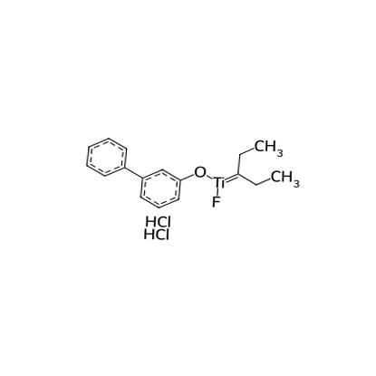 CC[C](CC)=[Ti]([F])[O]c1cccc(-c2ccccc2)c1.Cl.Cl